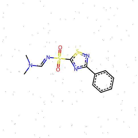 CN(C)C=NS(=O)(=O)c1nc(-c2ccccc2)ns1